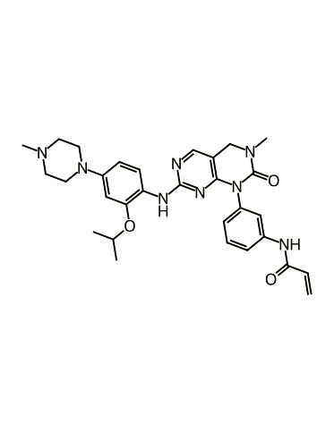 C=CC(=O)Nc1cccc(N2C(=O)N(C)Cc3cnc(Nc4ccc(N5CCN(C)CC5)cc4OC(C)C)nc32)c1